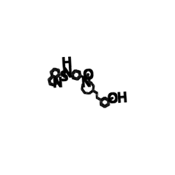 O=C(c1ccc(NSc2cccc3cccnc23)cc1)N1CCCCC(CCc2cccc(O)c2)CC1